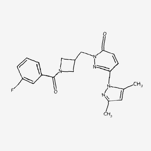 Cc1cc(C)n(-c2ccc(=O)n(CC3CN(C(=O)c4cccc(F)c4)C3)n2)n1